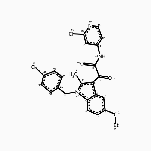 CCOc1ccc2c(c1)c(C(=O)C(=O)Nc1ccnc(Cl)c1)c(C)n2Cc1ccc(Cl)cc1